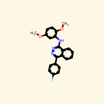 COc1ccc(OC)c(Nc2nnc(-c3ccc(F)cc3)c3ccccc23)c1